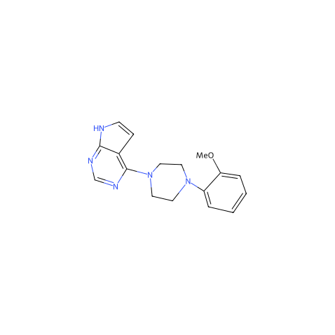 COc1ccccc1N1CCN(c2ncnc3[nH]ccc23)CC1